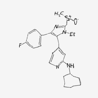 CCn1c([S+](C)[O-])nc(-c2ccc(F)cc2)c1-c1ccnc(NC2CCCCC2)c1